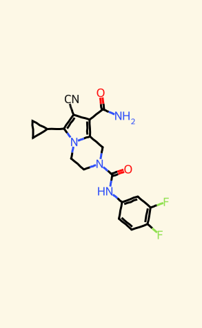 N#Cc1c(C(N)=O)c2n(c1C1CC1)CCN(C(=O)Nc1ccc(F)c(F)c1)C2